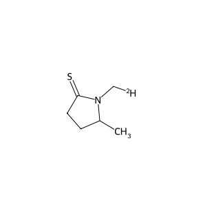 [2H]CN1C(=S)CCC1C